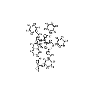 COC(=O)OCc1ccc2c(c1)[C@]1(OC2)SC(COCc2ccccc2)[C@@H](OCc2ccccc2)[C@H](OCc2ccccc2)[C@H]1OCc1ccccc1